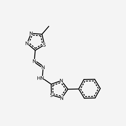 Cc1nnc(N=NNc2nc(-c3ccccc3)ns2)s1